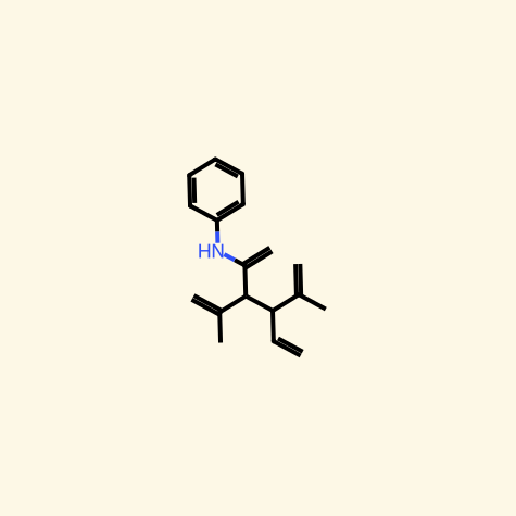 C=CC(C(=C)C)C(C(=C)C)C(=C)Nc1ccccc1